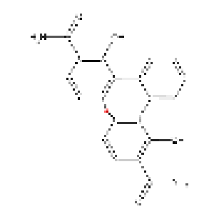 Cc1ccc(C(N)=O)c(O)c1-c1ccccc1-c1c(C)ccc(C(N)=O)c1O